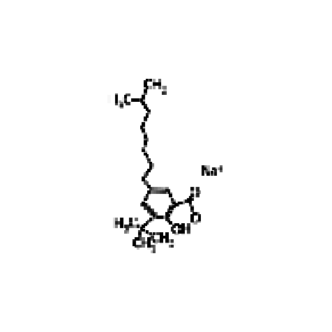 CC(C)CCCCCCc1cc(C(=O)[O-])c(O)c(C(C)(C)C)c1.[Na+]